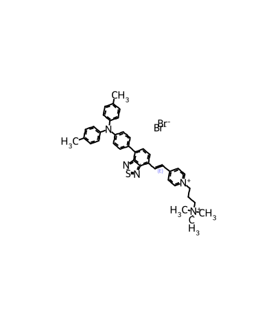 Cc1ccc(N(c2ccc(C)cc2)c2ccc(-c3ccc(/C=C/c4cc[n+](CCC[N+](C)(C)C)cc4)c4nsnc34)cc2)cc1.[Br-].[Br-]